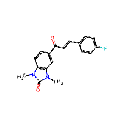 Cn1c(=O)n(C)c2cc(C(=O)/C=C/c3ccc(F)cc3)ccc21